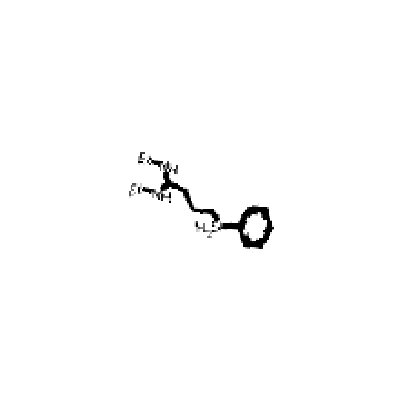 CCNC(CCC[SiH2]c1ccccc1)NCC